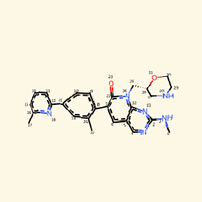 CNc1ncc2cc(-c3ccc(-c4cccc(C)n4)cc3C)c(=O)n(C[C@H]3CNCCO3)c2n1